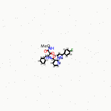 CONC(=O)C(=O)C(Cc1ccccc1)NC(=O)c1cccnc1-n1ccc(-c2ccc(F)cc2)n1